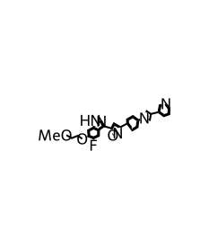 COCCOc1cc2[nH]nc(-c3cc(-c4ccc(N5CC(c6cccnc6)C5)cc4)no3)c2cc1F